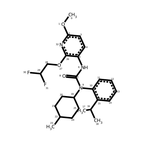 COc1ccc(NC(=O)N(c2ccccc2C(C)C)C2CCC(C)CC2)c(OCC(F)F)n1